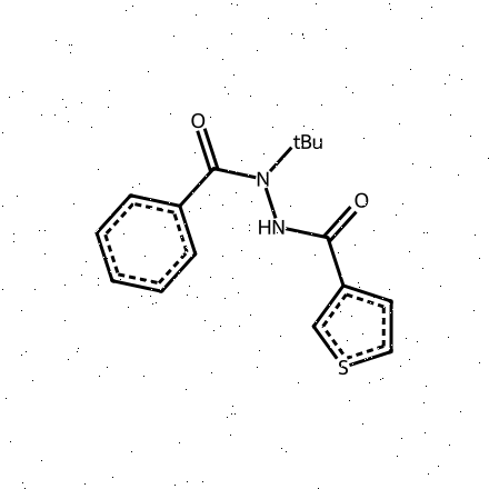 CC(C)(C)N(NC(=O)c1ccsc1)C(=O)c1ccccc1